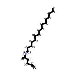 CCCCCCCCCCCCCCC/C=N/C(C)CCC#N